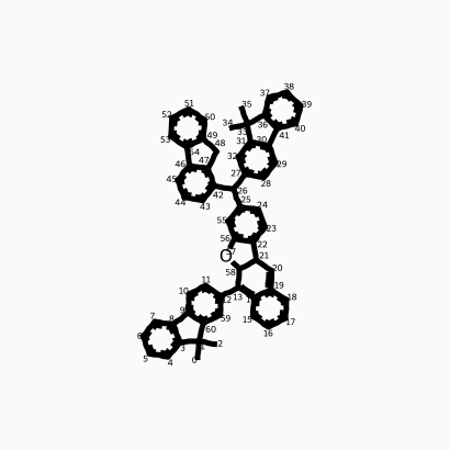 CC1(C)c2ccccc2-c2ccc(C3=c4ccccc4=CC4c5ccc(C(c6ccc7c(c6)C(C)(C)c6ccccc6-7)c6cccc7c6Cc6ccccc6-7)cc5OC34)cc21